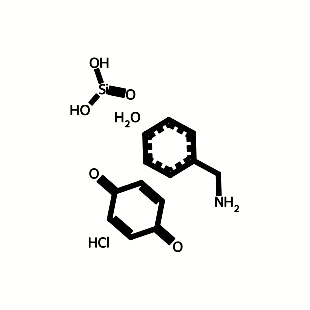 Cl.NCc1ccccc1.O.O=C1C=CC(=O)C=C1.O=[Si](O)O